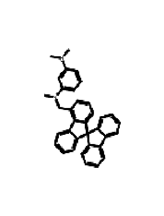 CN(C)c1cccc(N(C)Cc2cccc3c2-c2ccccc2C32c3ccccc3-c3ccccc32)c1